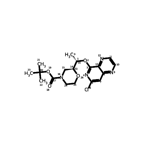 C[C@H](Oc1nc(Cl)cc2nccnc12)[C@@H]1CN(C(=O)OC(C)(C)C)CCO1